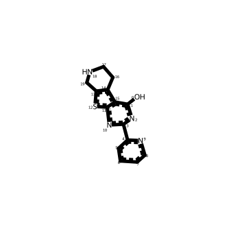 Oc1nc(-c2ccccn2)nc2sc3c(c12)CCNC3